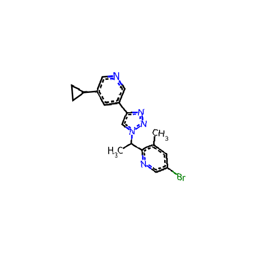 Cc1cc(Br)cnc1C(C)n1cc(-c2cncc(C3CC3)c2)nn1